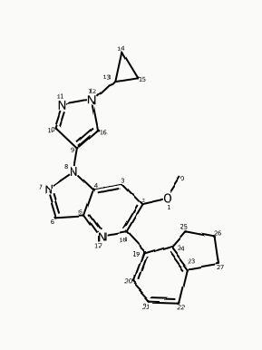 COc1cc2c(cnn2-c2cnn(C3CC3)c2)nc1-c1cccc2c1CCC2